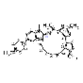 C=C1/N=C2\Nc3ccc(N4CCN(C)CC4)cc3N2CCCCCCc2c(cnn2C)-c2cc1cc(C)n2